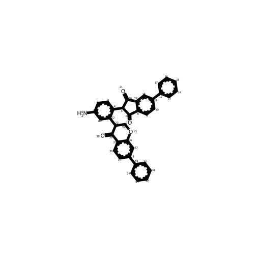 Nc1ccc(C2C(=O)c3ccc(-c4ccccc4)cc3C2=O)c(C2COc3cc(-c4ccccc4)ccc3C2=O)c1